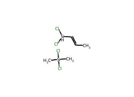 CC=C[SiH](Cl)Cl.C[Si](C)(Cl)Cl